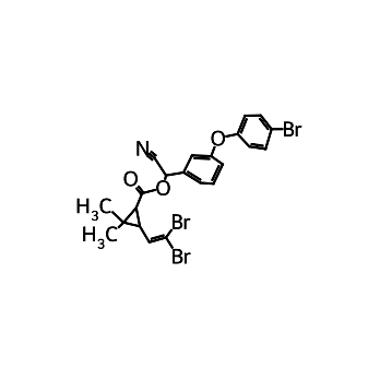 CC1(C)C(C=C(Br)Br)C1C(=O)OC(C#N)c1cccc(Oc2ccc(Br)cc2)c1